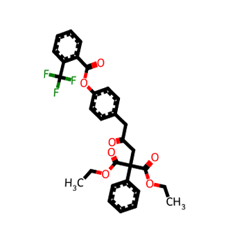 CCOC(=O)C(CC(=O)Cc1ccc(OC(=O)c2ccccc2C(F)(F)F)cc1)(C(=O)OCC)c1ccccc1